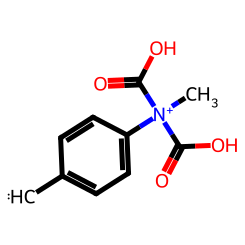 [CH]c1ccc([N+](C)(C(=O)O)C(=O)O)cc1